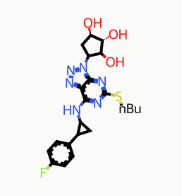 CCCCSc1nc(NC2CC2c2ccc(F)cc2)c2nnn(C3C[C@@H](O)[C@H](O)C3O)c2n1